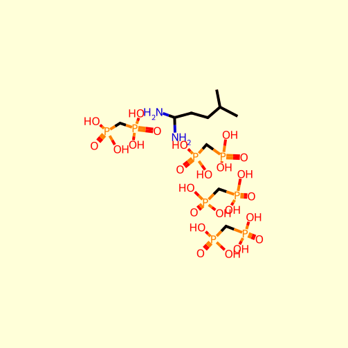 CC(C)CCC(N)N.O=P(O)(O)CP(=O)(O)O.O=P(O)(O)CP(=O)(O)O.O=P(O)(O)CP(=O)(O)O.O=P(O)(O)CP(=O)(O)O